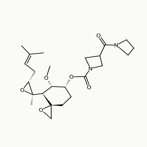 CO[C@@H]1[C@H](OC(=O)N2CC(C(=O)N3CCC3)C2)CC[C@]2(CO2)[C@H]1[C@@]1(C)O[C@@H]1CC=C(C)C